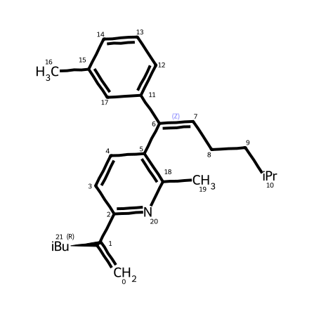 C=C(c1ccc(/C(=C\CCC(C)C)c2cccc(C)c2)c(C)n1)[C@H](C)CC